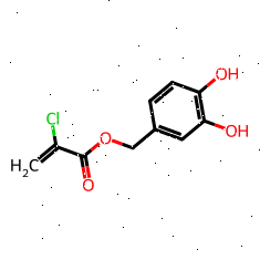 C=C(Cl)C(=O)OCc1ccc(O)c(O)c1